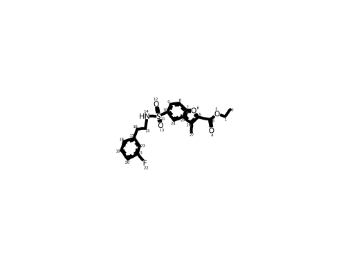 CCOC(=O)c1oc2ccc(S(=O)(=O)NCCc3cccc(F)c3)cc2c1C